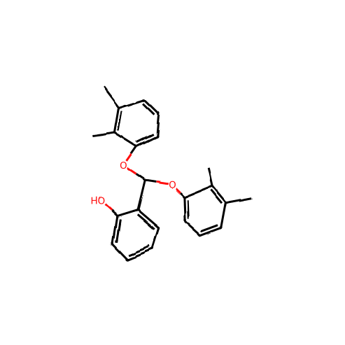 Cc1cccc(OC(Oc2cccc(C)c2C)c2ccccc2O)c1C